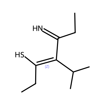 CCC(=N)/C(=C(\S)CC)C(C)C